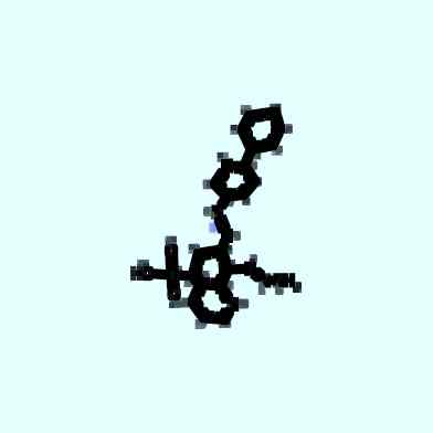 NN=Nc1c(/N=N/c2ccc(-c3ccccc3)nc2)cc(S(=O)(=O)O)c2cccnc12